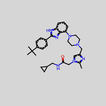 Cc1nc(CN2CCN(c3cccc4[nH]c(-c5ccc(C(C)(C)C)cc5)nc34)CC2)cn1CC(=O)NCC1CC1